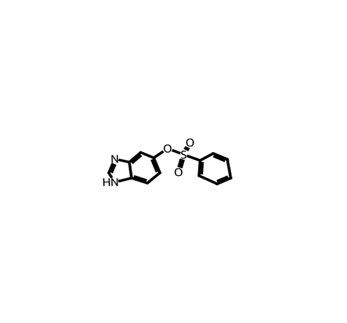 O=S(=O)(Oc1ccc2[nH]cnc2c1)c1ccccc1